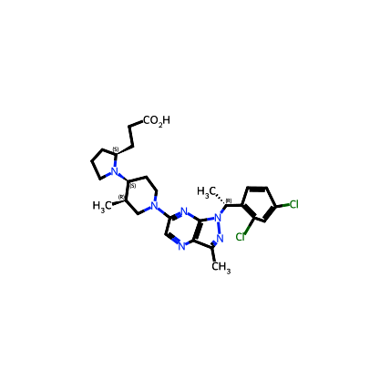 Cc1nn([C@H](C)c2ccc(Cl)cc2Cl)c2nc(N3CC[C@H](N4CCC[C@H]4CCC(=O)O)[C@H](C)C3)cnc12